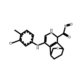 Cc1ccc(NC2=CNC(C(=O)N=O)C3=C2C2CCC3CC2)cc1Cl